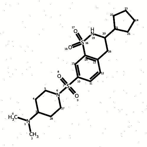 CN(C)C1CCN(S(=O)(=O)c2ccc3c(c2)S(=O)(=O)NC(C2CCCC2)C3)CC1